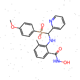 COc1ccc(S(=O)(=O)C(Nc2c(C)cccc2C(=O)NO)c2ccccn2)cc1